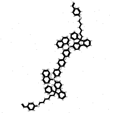 C=Cc1ccc(OCCCCCCC2(c3ccccc3)c3ccccc3-c3ccc(N(c4ccc(-c5ccc(-c6ccc(N(c7ccc8c(c7)C(CCCCCCOc7ccc(C=C)cc7)(c7ccccc7)c7ccccc7-8)c7cccc8ccccc78)cc6)cc5)cc4)c4cccc5ccccc45)cc32)cc1